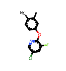 Cc1cc(Oc2ncc(Cl)cc2F)ccc1C#N